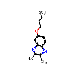 Cc1nc2ccc(OCCCS(=O)(=O)O)cc2nc1C